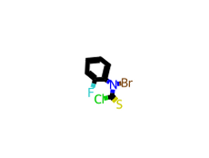 Fc1ccccc1N(Br)C(=S)Cl